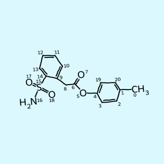 Cc1ccc(OC(=O)Cc2ccccc2S(N)(=O)=O)cc1